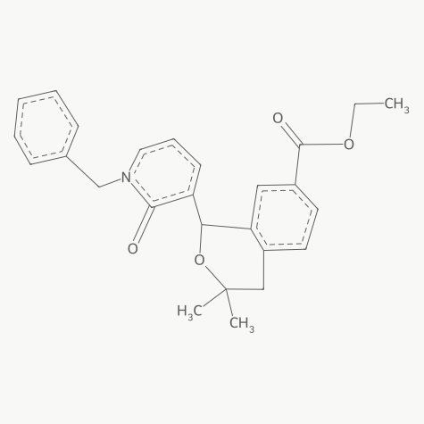 CCOC(=O)c1ccc2c(c1)C(c1cccn(Cc3ccccc3)c1=O)OC(C)(C)C2